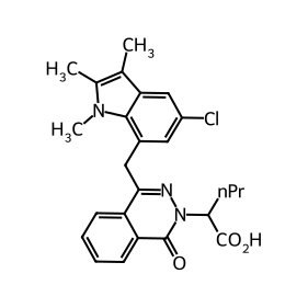 CCCC(C(=O)O)n1nc(Cc2cc(Cl)cc3c(C)c(C)n(C)c23)c2ccccc2c1=O